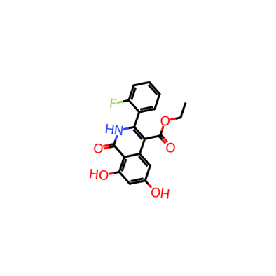 CCOC(=O)c1c(-c2ccccc2F)[nH]c(=O)c2c(O)cc(O)cc12